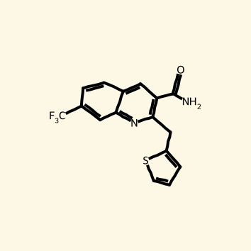 NC(=O)c1cc2ccc(C(F)(F)F)cc2nc1Cc1cccs1